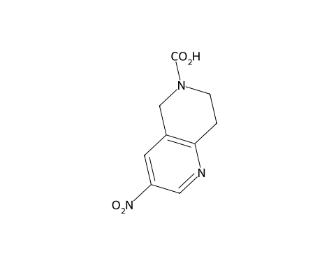 O=C(O)N1CCc2ncc([N+](=O)[O-])cc2C1